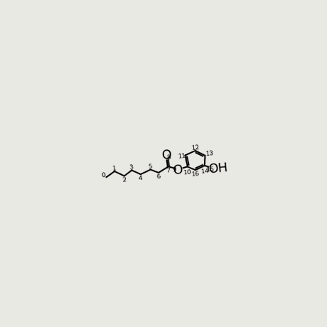 CCCCCCCC(=O)Oc1cccc(O)c1